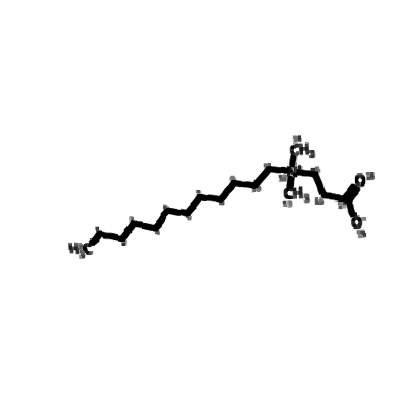 CCCCCCCCCCCC[N+](C)(C)CCC(=O)[O-]